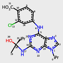 CC(C)n1cnc2c(Nc3ccc(C(=O)O)c(Cl)c3)nc(N[C@](C)(O)C(C)C)nc21